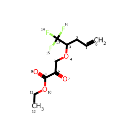 C=CCC(OCC(=O)C(=O)OCC)C(F)(F)F